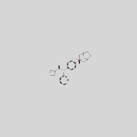 CC(C)C(=O)N1C2CCC1CC(c1ccc(N(C(=O)C3CNC3)c3cccnn3)cc1)C2